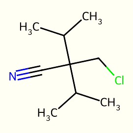 CC(C)C(C#N)(CCl)C(C)C